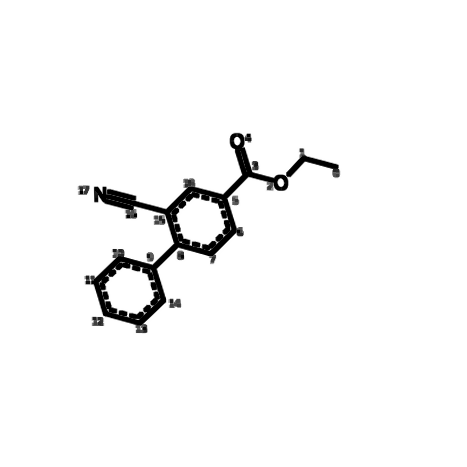 CCOC(=O)c1ccc(-c2ccccc2)c(C#N)c1